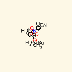 CC(C)(C)[Si](C)(C)OCC[C@@]12CC[C@@](C)(O1)[C@H]1C(=O)N(c3ccc(C#N)c(C(F)(F)F)c3)C(=O)[C@H]12